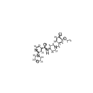 CCOc1cc(CN2CCC(NC(=O)c3ccnc(N4CCOCC4)c3)CC2)ccc1Cl